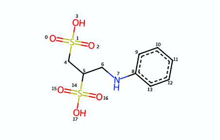 O=S(=O)(O)CC(CNc1ccccc1)S(=O)(=O)O